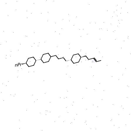 C/C=C/CC[C@H]1CC[C@H](CCCCC2CCC([C@H]3CC[C@H](CCC)CC3)CC2)CC1